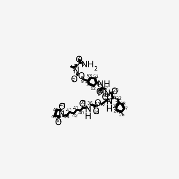 NC(=O)[C@@H]1CN1C(=O)OCc1ccc(NC(=O)CNC(=O)[C@H](Cc2ccccc2)NC(=O)COC(=O)CNC(=O)CCCCCN2C(=O)C=CC2=O)cc1